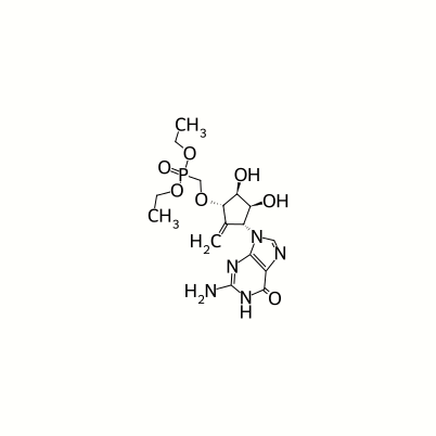 C=C1[C@@H](n2cnc3c(=O)[nH]c(N)nc32)[C@H](O)[C@H](O)[C@H]1OCP(=O)(OCC)OCC